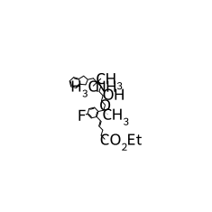 CCOC(=O)CC/C=C/c1cc(F)ccc1[C@@H](C)OC[C@H](O)CNC(C)(C)CC1Cc2ccccc2C1